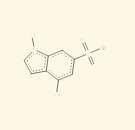 Cn1ccc2c(O)cc(S(N)(=O)=O)cc21